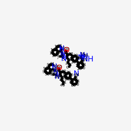 CCCCc1nc(C)n(-c2nccc3ccccc23)c(=O)c1Cc1ccc(-c2ccccc2-c2nnn[nH]2)cc1.CCCCc1nc(C)n(-c2nccc3ccccc23)c(=O)c1Cc1ccc(-c2ccccc2C#N)cc1